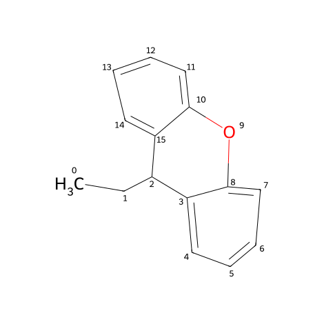 CCC1c2ccccc2Oc2ccccc21